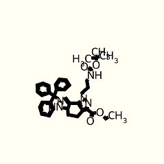 CCOC(=O)c1nn(CCCNC(=O)OC(C)(C)C)c2c1CCC1NN(C(c3ccccc3)(c3ccccc3)c3ccccc3)C=C21